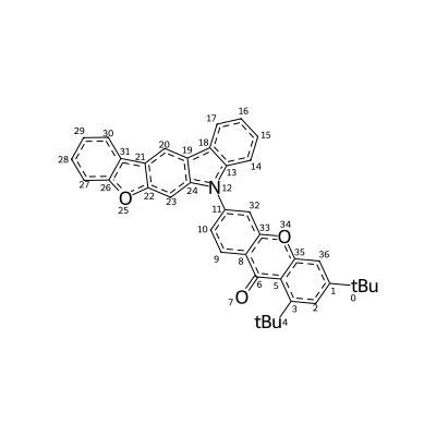 CC(C)(C)c1cc(C(C)(C)C)c2c(=O)c3ccc(-n4c5ccccc5c5cc6c(cc54)oc4ccccc46)cc3oc2c1